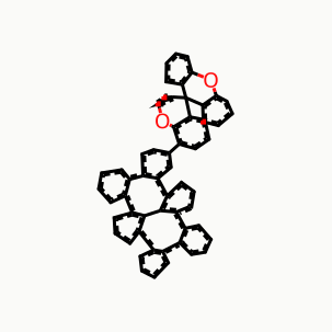 c1ccc2c(c1)Oc1ccccc1C21c2ccccc2Oc2c(-c3ccc4c(c3)c3cccc5c3-c3c(cccc3c3ccccc34)c3ccccc3c3ccccc53)cccc21